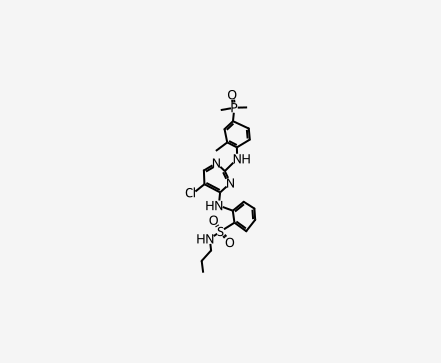 CCCNS(=O)(=O)c1ccccc1Nc1nc(Nc2ccc(P(C)(C)=O)cc2C)ncc1Cl